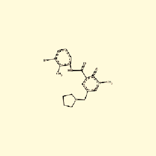 Cc1c(Br)cccc1NC(=O)c1cc(CN2CCCC2)cn(C)c1=O